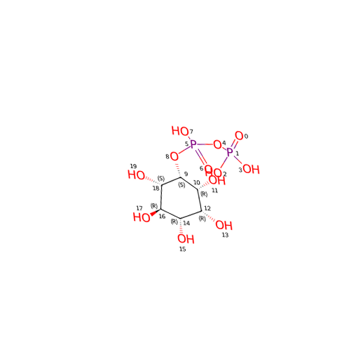 O=P(O)(O)OP(=O)(O)O[C@@H]1[C@H](O)[C@H](O)[C@H](O)[C@@H](O)[C@@H]1O